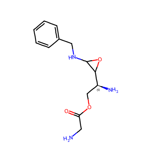 NCC(=O)OC[C@H](N)C1OC1NCc1ccccc1